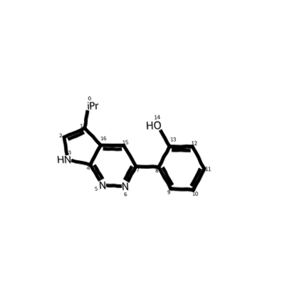 CC(C)c1c[nH]c2nnc(-c3ccccc3O)cc12